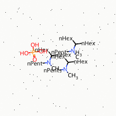 CCCCCCC(CCCCCC)N(C)CCCCC.CCCCCCC(CCCCCC)N(C)CCCCC.CCCCCCC(CCCCCC)N(C)CCCCC.O=P(O)(O)O